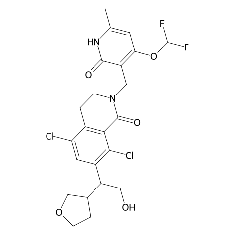 Cc1cc(OC(F)F)c(CN2CCc3c(Cl)cc(C(CO)C4CCOC4)c(Cl)c3C2=O)c(=O)[nH]1